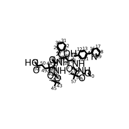 COC(=O)N[C@H](C(=O)N[C@@H](Cc1ccc(-c2ccccn2)cc1)C[C@H](O)[C@H](Cc1ccccc1)NC(=O)[C@@H](NC(=O)OC(C)(C)C)C(C)(C)CCC(=O)O)C(C)(C)C